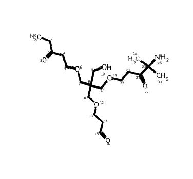 CCC(=O)CCOCC(CO)(COCCC=O)COCCC(=O)C(C)(C)N